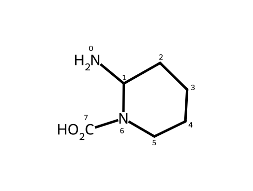 NC1CCCCN1C(=O)O